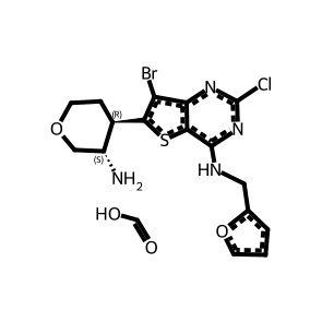 N[C@@H]1COCC[C@H]1c1sc2c(NCc3ccco3)nc(Cl)nc2c1Br.O=CO